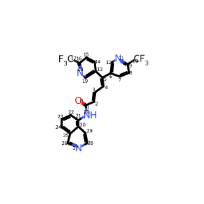 O=C(/C=C/C=C(c1ccc(C(F)(F)F)nc1)c1ccc(C(F)(F)F)nc1)Nc1cccc2cnccc12